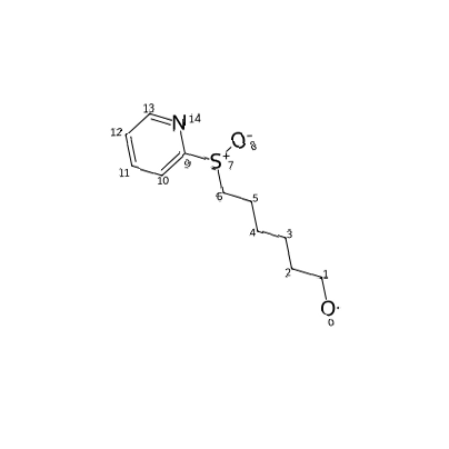 [O]CCCCCC[S+]([O-])c1ccccn1